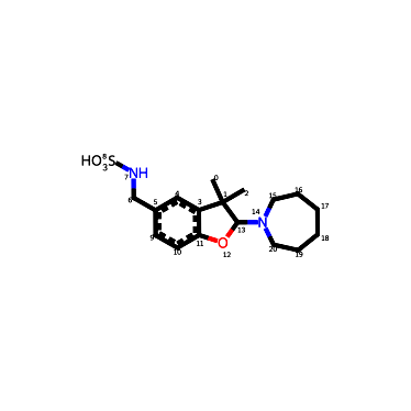 CC1(C)c2cc(CNS(=O)(=O)O)ccc2OC1N1CCCCCC1